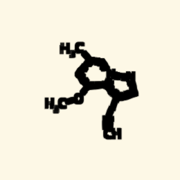 C#Cc1cnn2cc(C)cc(OC)c12